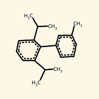 Cc1cc[c]c(-c2c(C(C)C)cccc2C(C)C)c1